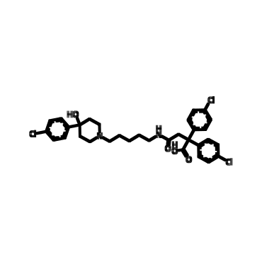 O=C(CC(C(=O)O)(c1ccc(Cl)cc1)c1ccc(Cl)cc1)NCCCCCN1CCC(O)(c2ccc(Cl)cc2)CC1